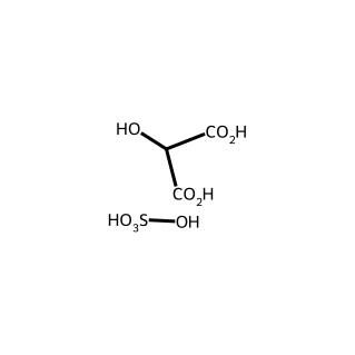 O=C(O)C(O)C(=O)O.O=S(=O)(O)O